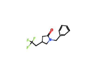 O=C1CC(CC(F)(F)F)CN1Cc1ccccc1